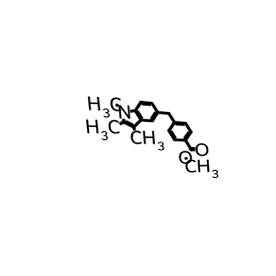 COC(=O)c1ccc(Cc2ccc3c(c2)c(C)c(C)n3C)cc1